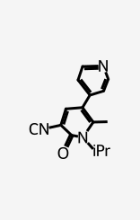 [C-]#[N+]c1cc(-c2ccncc2)c(C)n(C(C)C)c1=O